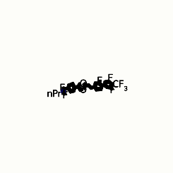 CCC/C(F)=C(\F)c1ccc(C2COC(CCc3ccc(-c4cc(F)c(C(F)(F)F)c(F)c4)c(F)c3)OC2)cc1